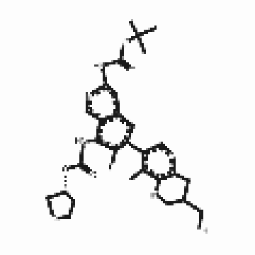 Cc1c(-c2cc3cc(NC(=O)OC(C)(C)C)ncc3c(NC(=O)O[C@@H]3CCOC3)c2F)cnc2c1NCC(CO)C2